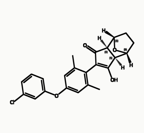 Cc1cc(Oc2cccc(Cl)c2)cc(C)c1C1=C(O)[C@H]2[C@@H](C1=O)[C@@H]1CC[C@H]2O1